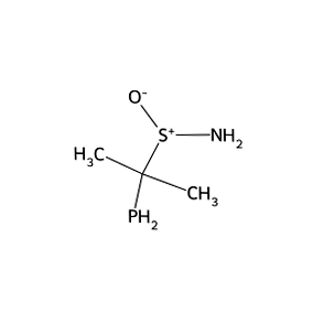 CC(C)(P)[S+](N)[O-]